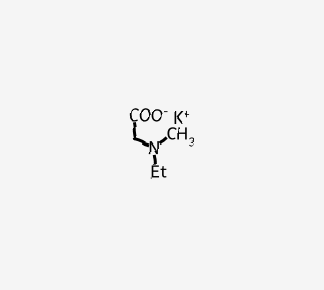 CCN(C)CC(=O)[O-].[K+]